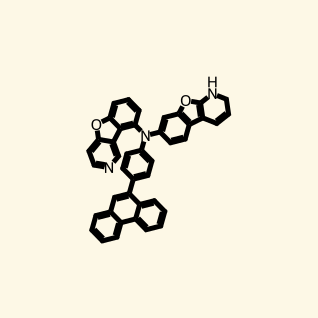 C1=Cc2c(oc3cc(N(c4ccc(-c5cc6ccccc6c6ccccc56)cc4)c4cccc5oc6ccncc6c45)ccc23)NC1